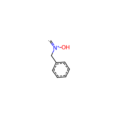 [CH]=[N+](O)Cc1ccccc1